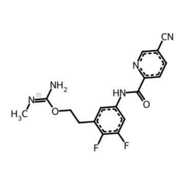 C/N=C(/N)OCCc1cc(NC(=O)c2ccc(C#N)cn2)cc(F)c1F